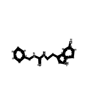 O=C(NCCc1c[nH]c2ccc(Cl)cc12)OCc1ccccc1